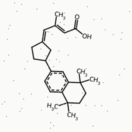 CC(=CC(=O)O)C=C1CCC(c2ccc3c(c2)C(C)(C)CCC3(C)C)C1